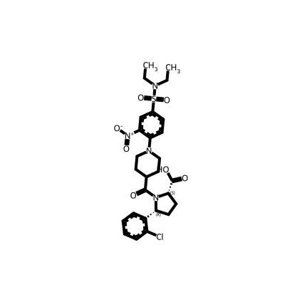 CCN(CC)S(=O)(=O)c1ccc(N2CCC(C(=O)N3[C@@H](c4ccccc4Cl)CC[C@H]3C(=O)O)CC2)c([N+](=O)[O-])c1